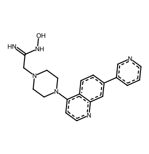 N=C(CN1CCN(c2ccnc3cc(-c4cccnc4)ccc23)CC1)NO